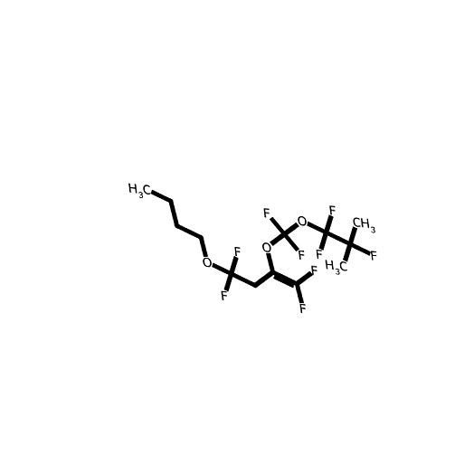 CCCCOC(F)(F)CC(OC(F)(F)OC(F)(F)C(C)(C)F)=C(F)F